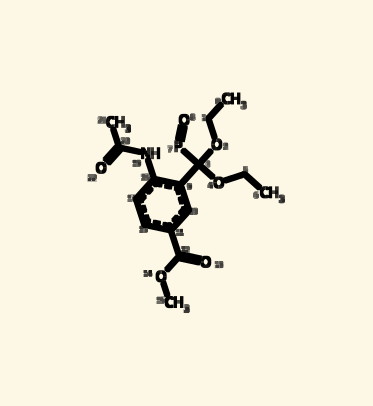 CCOC(OCC)(P=O)c1cc(C(=O)OC)ccc1NC(C)=O